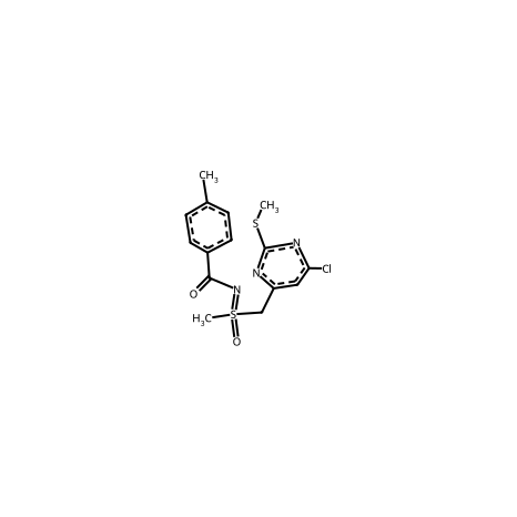 CSc1nc(Cl)cc(CS(C)(=O)=NC(=O)c2ccc(C)cc2)n1